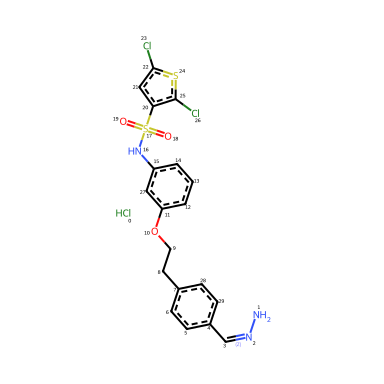 Cl.N/N=C\c1ccc(CCOc2cccc(NS(=O)(=O)c3cc(Cl)sc3Cl)c2)cc1